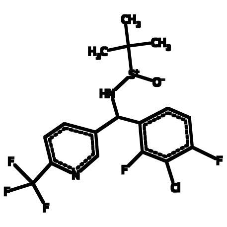 CC(C)(C)[S+]([O-])NC(c1ccc(C(F)(F)F)nc1)c1ccc(F)c(Cl)c1F